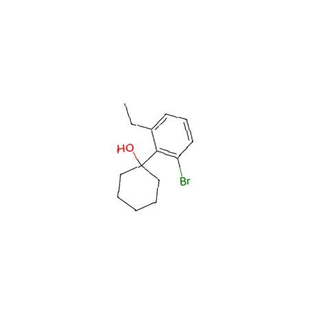 CCc1cccc(Br)c1C1(O)CCCCC1